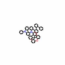 c1ccc(-c2ccccc2-c2ccccc2-c2ccccc2N(c2cccc3c2-c2ccccc2C32c3ccccc3Oc3ccccc32)c2cccc3c2c2ccccc2n3-c2ccccc2)cc1